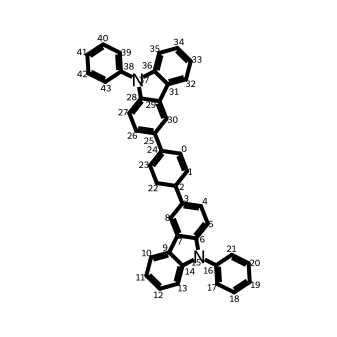 C1=CC(c2ccc3c(c2)c2ccccc2n3-c2ccccc2)CC=C1c1ccc2c(c1)c1ccccc1n2-c1ccccc1